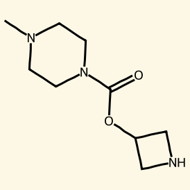 CN1CCN(C(=O)OC2CNC2)CC1